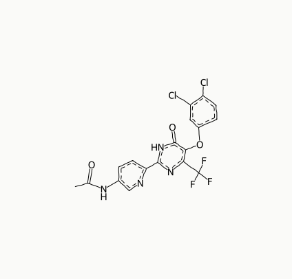 CC(=O)Nc1ccc(-c2nc(C(F)(F)F)c(Oc3ccc(Cl)c(Cl)c3)c(=O)[nH]2)nc1